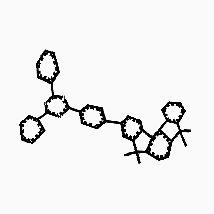 CC1(C)c2ccccc2-c2c1ccc1c2-c2ccc(-c3ccc(-c4nc(-c5ccccc5)nc(-c5ccccc5)n4)cc3)cc2C1(C)C